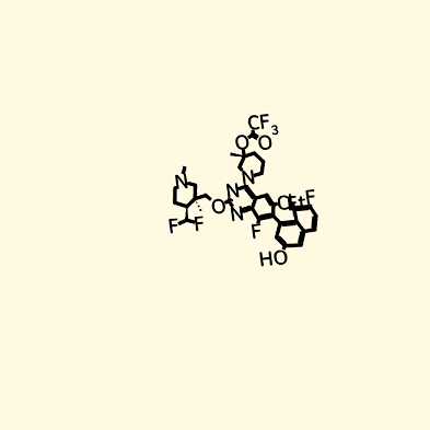 CCc1c(F)ccc2cc(O)cc(-c3c(Cl)cc4c(N5CCC[C@@](C)(OC(=O)C(F)(F)F)C5)nc(OC[C@]5(C)CN(C)CC[C@@H]5C(F)F)nc4c3F)c12